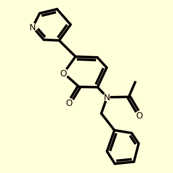 CC(=O)N(Cc1ccccc1)c1ccc(-c2cccnc2)oc1=O